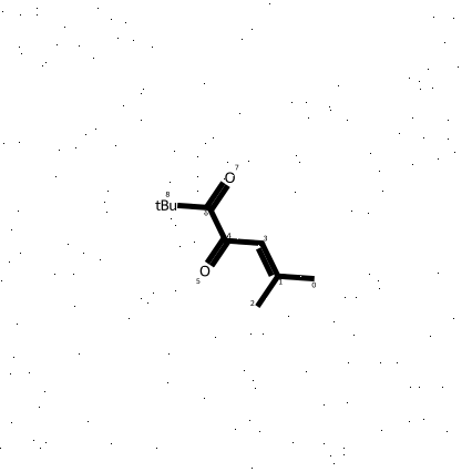 CC(C)=CC(=O)C(=O)C(C)(C)C